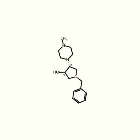 CN1CCN([C@@H]2CN(Cc3ccccc3)C[C@H]2O)CC1